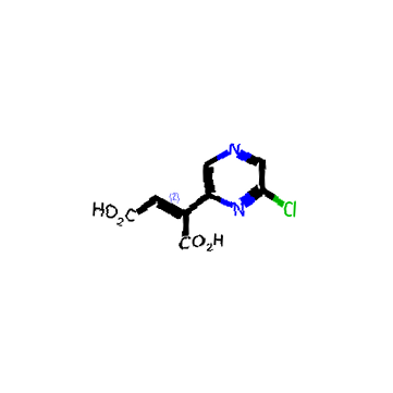 O=C(O)/C=C(\C(=O)O)c1cncc(Cl)n1